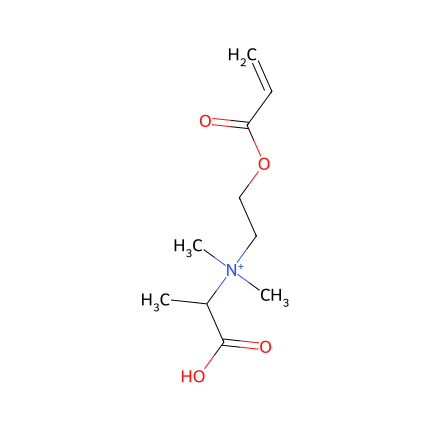 C=CC(=O)OCC[N+](C)(C)C(C)C(=O)O